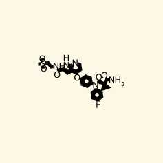 CS(=O)(=O)CCNC(=O)c1cc2c(Oc3ccc(N(C(=O)C4(C(N)=O)CC4)c4ccc(F)cc4)cc3)ccnc2[nH]1